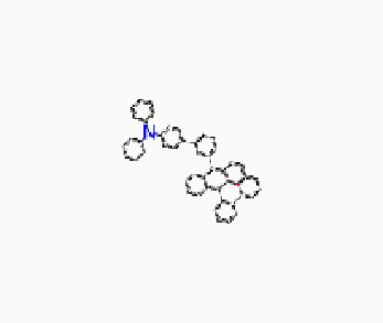 c1ccc(-c2ccccc2-c2c3ccccc3c(-c3cccc(-c4ccc(N(c5ccccc5)c5ccccc5)cc4)c3)c3ccccc23)cc1